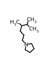 CC(C)C(C)CCCN1CCCC1